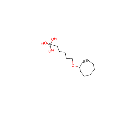 O[Si](O)(O)CCCCCOC1C#CCCCCC1